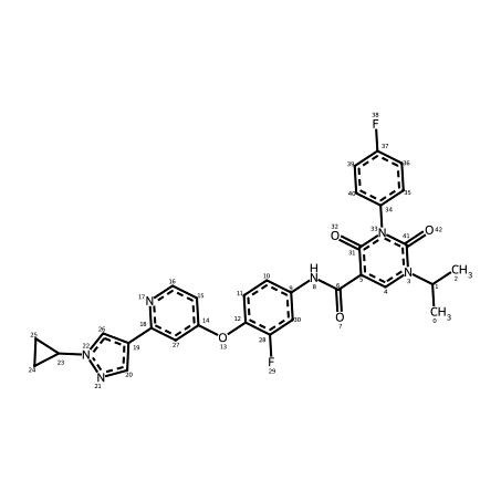 CC(C)n1cc(C(=O)Nc2ccc(Oc3ccnc(-c4cnn(C5CC5)c4)c3)c(F)c2)c(=O)n(-c2ccc(F)cc2)c1=O